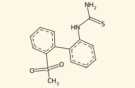 CS(=O)(=O)c1ccccc1-c1ccccc1NC(N)=S